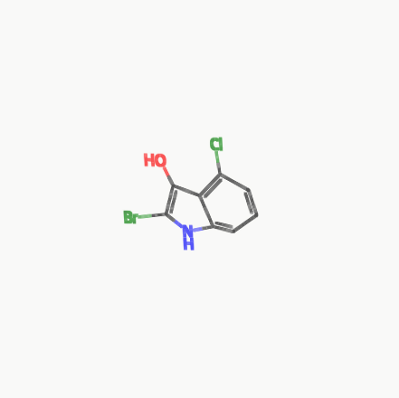 Oc1c(Br)[nH]c2cccc(Cl)c12